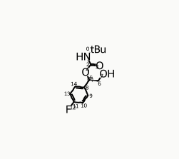 CC(C)(C)NC(=O)O[C@@H](CO)c1ccc(F)cc1